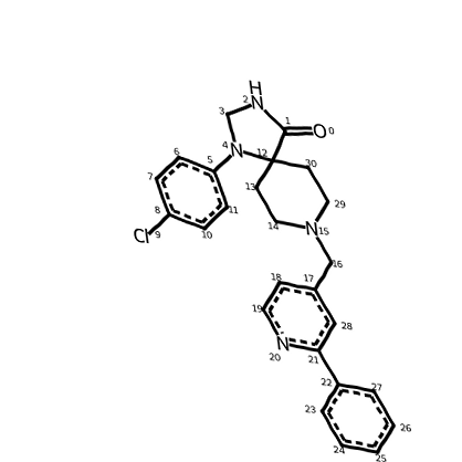 O=C1NCN(c2ccc(Cl)cc2)C12CCN(Cc1ccnc(-c3ccccc3)c1)CC2